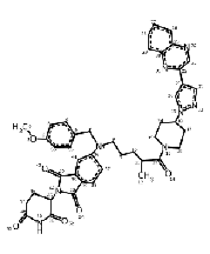 COc1ccc(CN(CCCC(C)C(=O)N2CCC(n3cc(-c4cnc5ccccc5n4)cn3)CC2)c2ccc3c(c2)C(=O)N(C2CCC(=O)NC2=O)C3=O)cc1